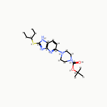 CCC(CC)Sc1nc2nc(N3CCN(C(=O)OC(C)(C)C)CC3)ccc2[nH]1